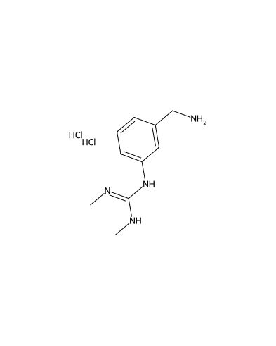 CN=C(NC)Nc1cccc(CN)c1.Cl.Cl